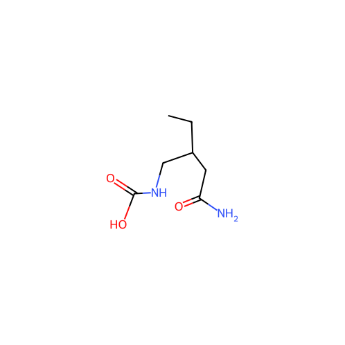 CCC(CNC(=O)O)CC(N)=O